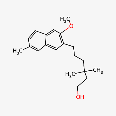 COc1cc2ccc(C)cc2cc1CCCC(C)(C)CCO